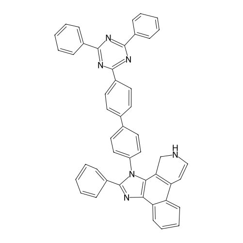 C1=Cc2c(c3c(nc(-c4ccccc4)n3-c3ccc(-c4ccc(-c5nc(-c6ccccc6)nc(-c6ccccc6)n5)cc4)cc3)c3ccccc23)CN1